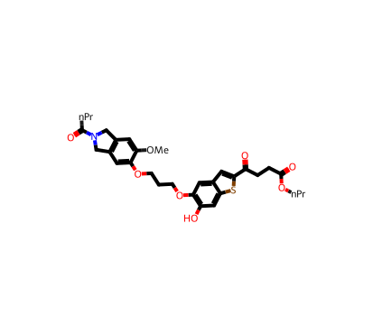 CCCOC(=O)CCC(=O)c1cc2cc(OCCCOc3cc4c(cc3OC)CN(C(=O)CCC)C4)c(O)cc2s1